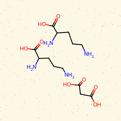 NCCCC(N)C(=O)O.NCCCC(N)C(=O)O.O=C(O)CC(=O)O